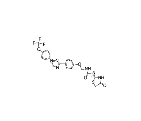 O=C1CS/C(=N\C(=O)NCOc2ccc(-c3ncn(-c4ccc(OC(F)(F)F)cc4)n3)cc2)N1